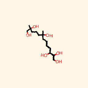 CC(O)(CO)CCCC(C)(O)CCCCC(O)C(O)CO